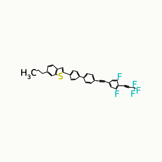 CCCc1ccc2cc(-c3ccc(-c4ccc(C#Cc5cc(F)c(C#CC(F)(F)F)c(F)c5)cc4)cc3)sc2c1